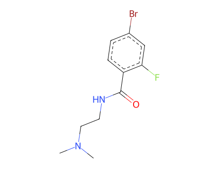 CN(C)CCNC(=O)c1ccc(Br)cc1F